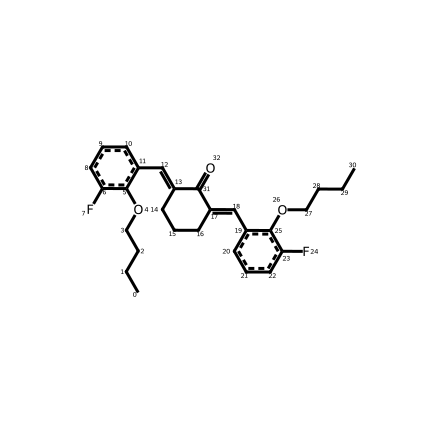 CCCCOc1c(F)cccc1/C=C1\CCC/C(=C\c2cccc(F)c2OCCCC)C1=O